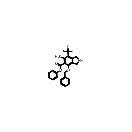 Cc1c(C(=O)Oc2ccccc2)c(OCc2ccccc2)c2c(c1C(F)(F)F)CNC2